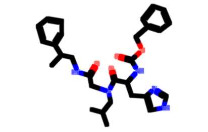 CC(C)CN(CC(=O)NCC(C)c1ccccc1)C(=O)C(Cc1c[nH]cn1)NC(=O)OCc1ccccc1